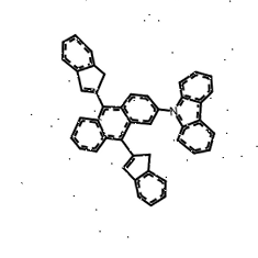 C1=C(c2c3ccccc3c(C3=Cc4ccccc4C3)c3cc(-n4c5ccccc5c5ccccc54)ccc23)Cc2ccccc21